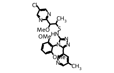 COc1cccc(OC)c1-n1c(NSC(C)C(OC)c2ncc(Cl)cn2)nnc1-c1cncc(C)c1